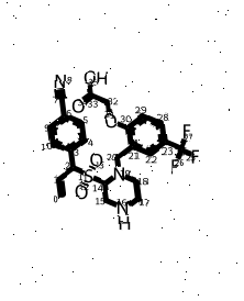 C=CC(c1ccc(C#N)cc1)S(=O)(=O)C1CNCCN1Cc1cc(C(F)(F)F)ccc1OCC(=O)O